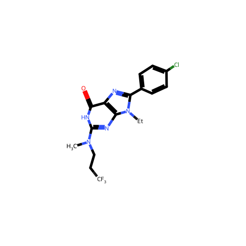 CCn1c(-c2ccc(Cl)cc2)nc2c(=O)[nH]c(N(C)CCC(F)(F)F)nc21